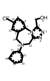 OCc1nnc2n1-c1ccc(Cl)cc1CN(c1ccccc1)C2